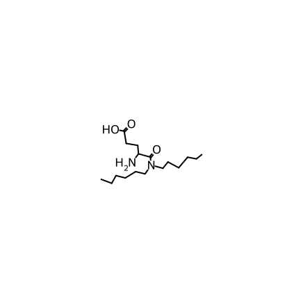 CCCCCCN(CCCCCC)C(=O)C(N)CCC(=O)O